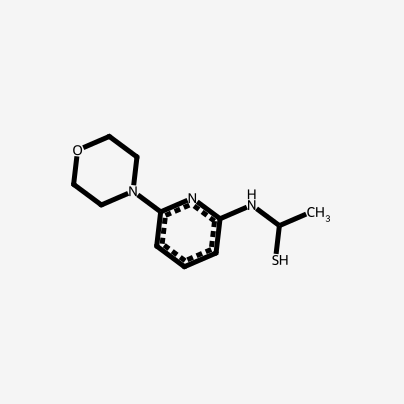 CC(S)Nc1cccc(N2CCOCC2)n1